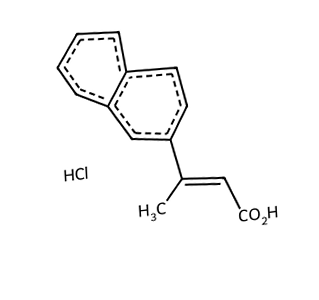 CC(=CC(=O)O)c1ccc2ccccc2c1.Cl